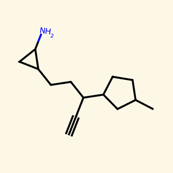 C#CC(CCC1CC1N)C1CCC(C)C1